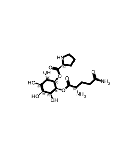 NC(=O)CC[C@H](N)C(=O)O[C@H]1[C@@H](O)[C@H](O)[C@@H](O)[C@H](O)[C@H]1OC(=O)[C@@H]1CCCN1